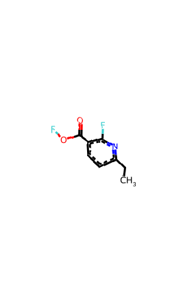 CCc1ccc(C(=O)OF)c(F)n1